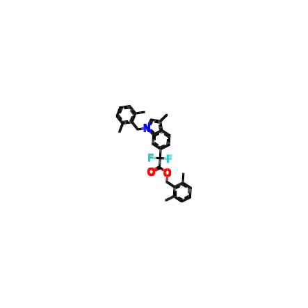 Cc1cccc(C)c1COC(=O)C(F)(F)c1ccc2c(C)cn(Cc3c(C)cccc3C)c2c1